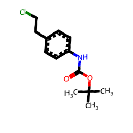 CC(C)(C)OC(=O)Nc1ccc(CCCl)cc1